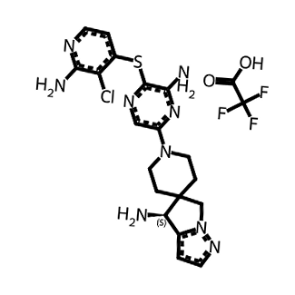 Nc1nc(N2CCC3(CC2)Cn2nccc2[C@H]3N)cnc1Sc1ccnc(N)c1Cl.O=C(O)C(F)(F)F